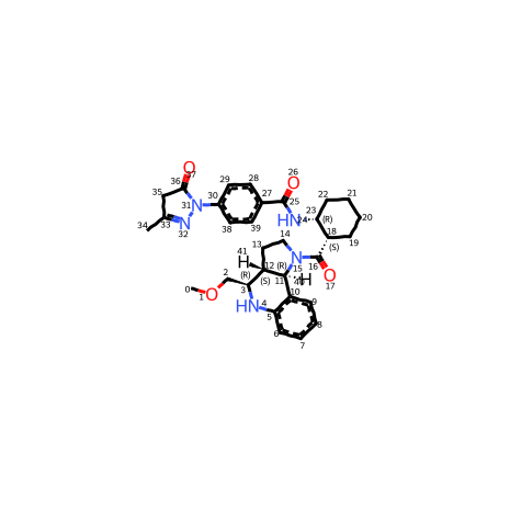 COC[C@@H]1Nc2ccccc2[C@H]2[C@H]1CCN2C(=O)[C@H]1CCCC[C@H]1NC(=O)c1ccc(N2N=C(C)CC2=O)cc1